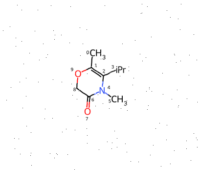 CC1=C(C(C)C)N(C)C(=O)CO1